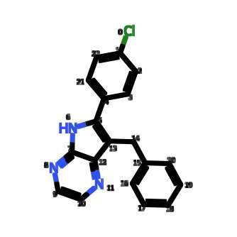 Clc1ccc(-c2[nH]c3nccnc3c2Cc2ccccc2)cc1